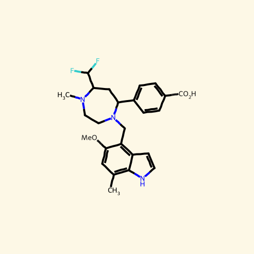 COc1cc(C)c2[nH]ccc2c1CN1CCN(C)C(C(F)F)CC1c1ccc(C(=O)O)cc1